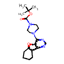 CC(C)(C)OC(=O)N1CCN(c2ncnc3c4c(oc23)CCCC4)CC1